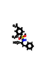 O=C(O)[C@H](Cc1ccccc1)NS(=O)(=O)c1ccc([N+](=O)[O-])cc1[N+](=O)[O-]